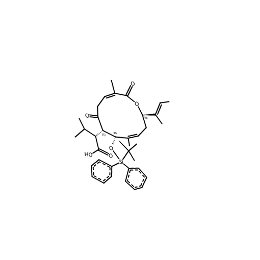 CC=C(C)[C@H]1CC=C(C)[C@H](O[Si](c2ccccc2)(c2ccccc2)C(C)(C)C)[C@H](C(C(=O)O)C(C)C)C(=O)CC=C(C)C(=O)O1